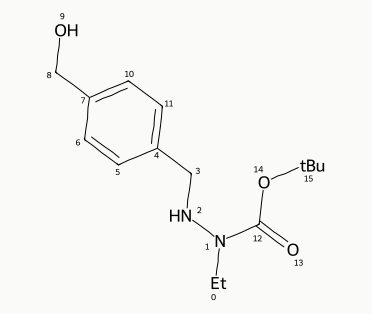 CCN(NCc1ccc(CO)cc1)C(=O)OC(C)(C)C